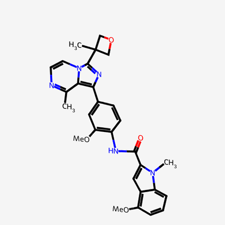 COc1cc(-c2nc(C3(C)COC3)n3ccnc(C)c23)ccc1NC(=O)c1cc2c(OC)cccc2n1C